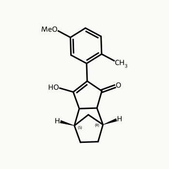 COc1ccc(C)c(C2=C(O)C3C(C2=O)[C@@H]2CC[C@H]3C2)c1